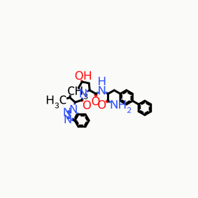 CC(C)C(C(=O)N1CC(O)CC1C(=O)NC(Cc1ccc(-c2ccccc2)cc1)C(N)=O)n1nnc2ccccc21